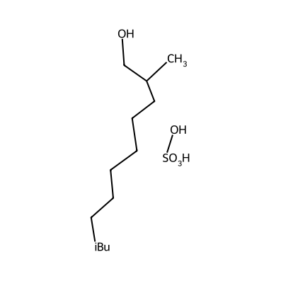 CCC(C)CCCCCCC(C)CO.O=S(=O)(O)O